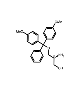 COc1ccc(C(OC[C@@H](N)CO)(c2ccccc2)c2ccc(OC)cc2)cc1